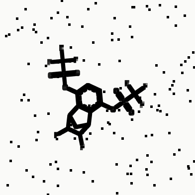 O=S(=O)(Oc1ccc(OS(=O)(=O)C(F)(F)F)c2c1C1CC2C(F)C1F)C(F)(F)F